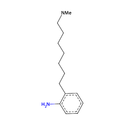 CNCCCCCCCc1ccccc1N